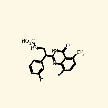 Cc1ccc(F)c2nc(C(CNC(=O)O)c3cccc(F)c3)[nH]c(=O)c12